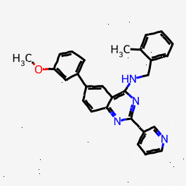 COc1cccc(-c2ccc3nc(-c4cccnc4)nc(NCc4ccccc4C)c3c2)c1